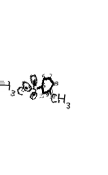 COS(=O)(=O)C1CCC[C@@H](C)C1